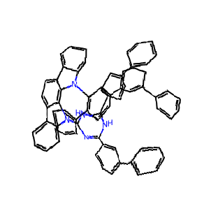 C1=C(c2ccc(-c3ccccc3)c(-n3c4ccccc4c4ccc5c6ccccc6n(C6N=C(c7cccc(-c8ccccc8)c7)NC(c7ccc(-c8ccccc8)cc7)N6)c5c43)c2)C=C(c2ccccc2)CC1